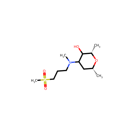 C[C@@H]1CC(N(C)CCCS(C)(=O)=O)C(O)[C@H](C)O1